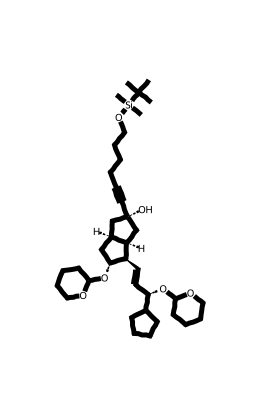 CC(C)(C)[Si](C)(C)OCCCCC#C[C@]1(O)C[C@@H]2C[C@@H](OC3CCCCO3)[C@H](/C=C/[C@H](OC3CCCCO3)C3CCCC3)[C@@H]2C1